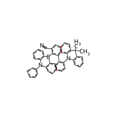 CC1(C)c2ccccc2N(c2ccccc2-c2cccc(C#N)c2B2c3ccccc3N(c3ccccc3)c3ccccc32)c2ccccc21